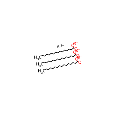 CCCCCCCCCCCCCCCC(=O)O[O-].CCCCCCCCCCCCCCCC(=O)O[O-].CCCCCCCCCCCCCCCC(=O)O[O-].[Al+3]